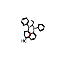 CCC(P(c1ccccc1)c1ccccc1)P(c1ccccc1)c1ccccc1.Cl